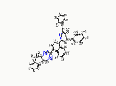 CC1(C)c2ccccc2-c2cnc(-c3ccc(-c4cc(-c5ccccc5)cc(-c5ccccc5)n4)c4ccccc34)nc21